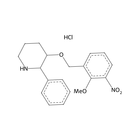 COc1c(COC2CCCNC2c2ccccc2)cccc1[N+](=O)[O-].Cl